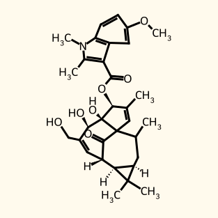 COc1ccc2c(c1)c(C(=O)O[C@H]1C(C)=CC34C(=O)[C@@H](C=C(CO)[C@@H](O)[C@]13O)[C@H]1[C@@H](CC4C)C1(C)C)c(C)n2C